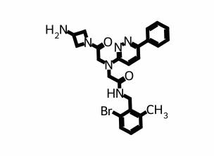 Cc1cccc(Br)c1CNC(=O)CN(CC(=O)N1CC(N)C1)c1ccc(-c2ccccc2)nn1